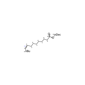 CCCC/C=C\CCCCCCCC(=O)OCCCCCCCCCC